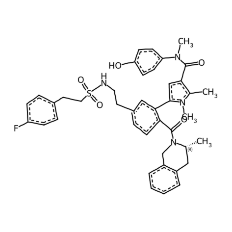 Cc1c(C(=O)N(C)c2ccc(O)cc2)cc(-c2cc(CCNS(=O)(=O)CCc3ccc(F)cc3)ccc2C(=O)N2Cc3ccccc3C[C@H]2C)n1C